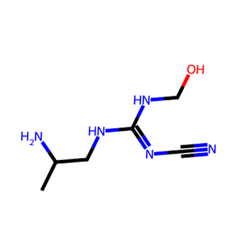 CC(N)CNC(=NC#N)NCO